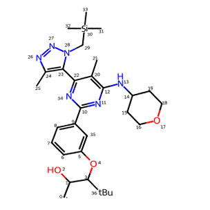 [CH2]C(O)C(Oc1cccc(-c2nc(NC3CCOCC3)c(C)c(-c3c(C)nnn3C[Si](C)(C)C)n2)c1)C(C)(C)C